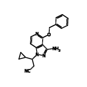 N#CCC(C1CC1)n1nc(N)c2c(OCc3ccccc3)nccc21